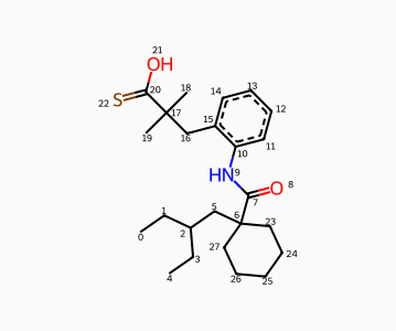 CCC(CC)CC1(C(=O)Nc2ccccc2CC(C)(C)C(O)=S)CCCCC1